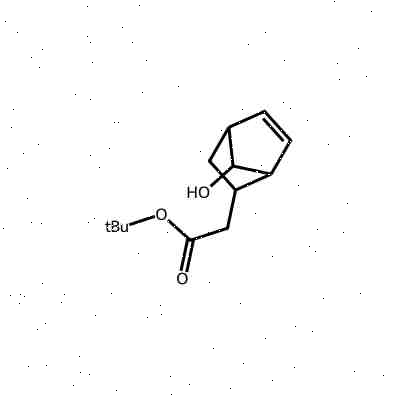 CC(C)(C)OC(=O)CC1CC2C=CC1C2O